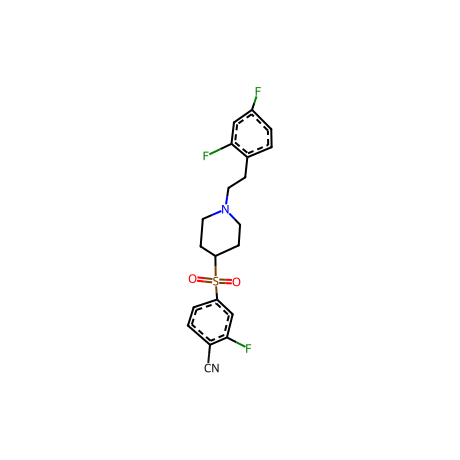 N#Cc1ccc(S(=O)(=O)C2CCN(CCc3ccc(F)cc3F)CC2)cc1F